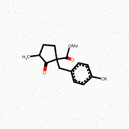 COC(=O)C1(Cc2ccc(C#N)cc2)CCC(C)C1=O